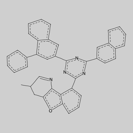 CC1C=Nc2c(oc3cccc(-c4nc(-c5ccc6ccccc6c5)nc(-c5cc(-c6ccccc6)c6ccccc6c5)n4)c23)C1